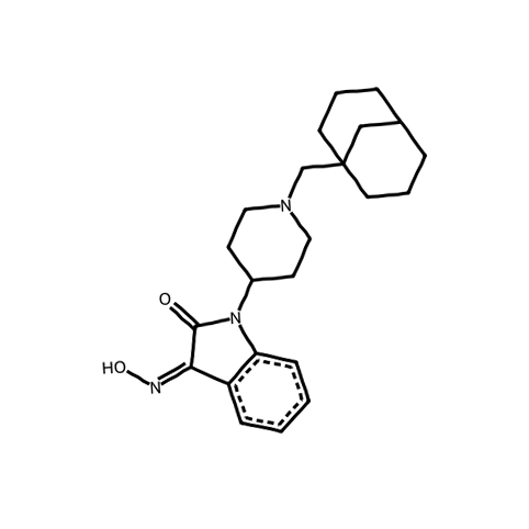 O=C1/C(=N\O)c2ccccc2N1C1CCN(CC23CCCC(CCC2)C3)CC1